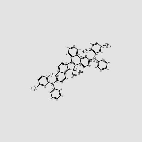 Cc1ccc(C)c(N(c2ccccc2)c2ccc3c4c(ccc3c2)-c2c(c3ccc(N(c5ccccc5)c5cc(C)ccc5C)cc3c3ccccc23)C4(C(C)(C)C)C(C)(C)C)c1